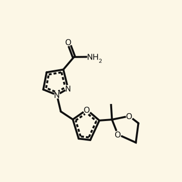 CC1(c2ccc(Cn3ccc(C(N)=O)n3)o2)OCCO1